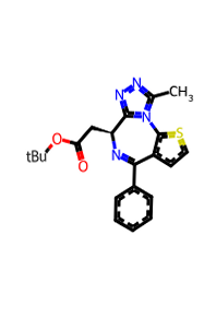 Cc1nnc2n1-c1sccc1C(c1ccccc1)=N[C@H]2CC(=O)OC(C)(C)C